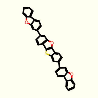 c1ccc2c(c1)oc1cc(-c3ccc4c(c3)oc3c5ccc(-c6ccc7c(c6)oc6ccccc67)cc5sc43)ccc12